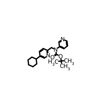 CC(C)(C)OC(=O)N(Cc1ccc(C2CCCCC2)cn1)c1cccnc1